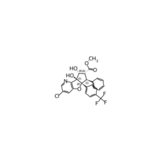 COC(=O)[C@H]1[C@@H](O)[C@@]2(O)c3ncc(Cl)cc3O[C@@]2(c2ccc(C(F)(F)F)cc2)[C@@H]1c1ccccc1